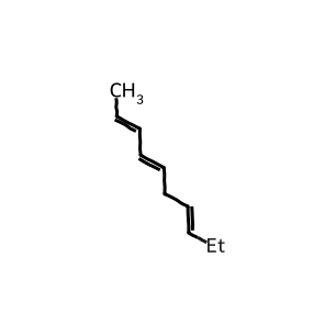 [CH2]C/C=C/C/C=C/C=C/C